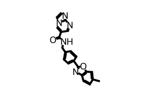 Cc1ccc2nc(-c3ccc(CNC(=O)c4cnc5nccn5c4)cc3)oc2c1